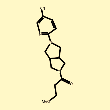 COCCC(=O)N1CC2CN(c3ccc(C#N)cn3)CC2C1